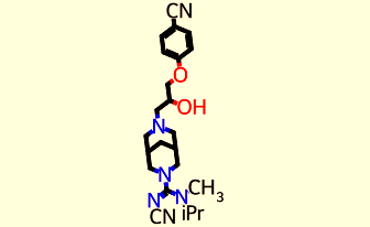 CC(C)N(C)C(=NC#N)N1CC2CC(CN(CC(O)COc3ccc(C#N)cc3)C2)C1